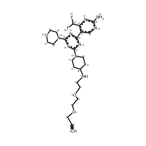 C#CCOCCOCCNC1CCN(c2nc(-c3cnc(N)nc3C(F)F)nc(N3CCOCC3)n2)CC1